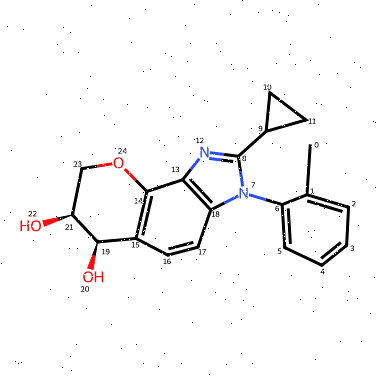 Cc1ccccc1-n1c(C2CC2)nc2c3c(ccc21)[C@@H](O)[C@@H](O)CO3